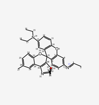 C/C=N/c1ccc2c(c1)Oc1ccc(N(CC)CC)cc1C21Oc2ccc(C)cc2-c2nc3ccccn3c21